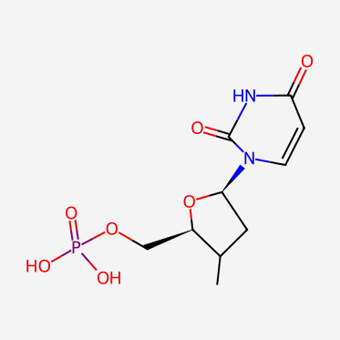 CC1C[C@H](n2ccc(=O)[nH]c2=O)O[C@@H]1COP(=O)(O)O